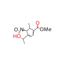 COC(=O)C1=CC=C(C(C)O)[C@@H]([N+](=O)[O-])C1C